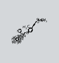 CNC(=O)OCC#Cc1ccc(OCc2nnc(SC3(S)C(S)(S)C(S)(S)C(S)(S)C3(S)S)n2-c2cccnc2)cc1C